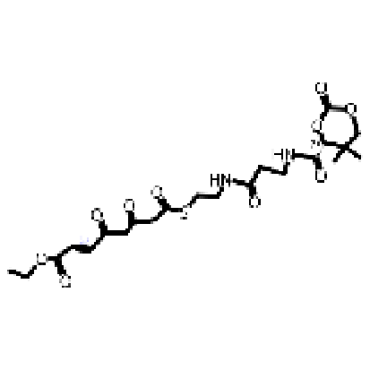 CCOC(=O)/C=C/C(=O)CC(=O)CC(=O)SCCNC(=O)CCNC(=O)[C@@H]1OC(=O)OCC1(C)C